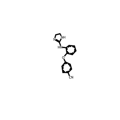 N#Cc1ccc(Oc2ccccc2NC2=NCCN2)cc1